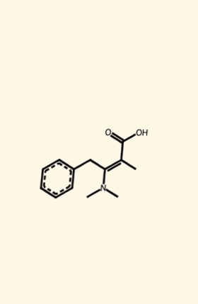 CC(C(=O)O)=C(Cc1ccccc1)N(C)C